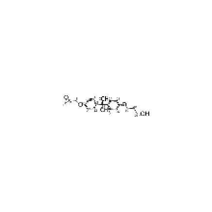 CC(C)(c1c#cc(OCC2CO2)cc1)c1ccc(OCCCO)cc1